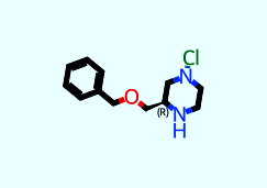 ClN1CCN[C@@H](COCc2ccccc2)C1